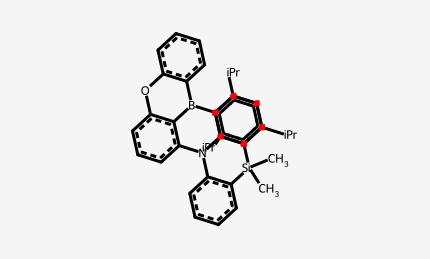 CC(C)c1cc(C(C)C)c(B2c3ccccc3Oc3cccc(N4c5ccccc5[Si](C)(C)c5ccccc54)c32)c(C(C)C)c1